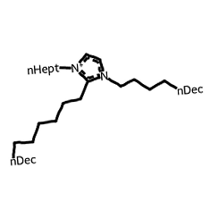 CCCCCCCCCCCCCCCCc1n(CCCCCCCCCCCCCC)cc[n+]1CCCCCCC